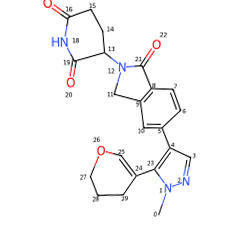 Cn1ncc(-c2ccc3c(c2)CN(C2CCC(=O)NC2=O)C3=O)c1C1=COCCC1